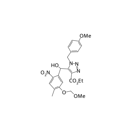 CCOC(=O)c1nnn(Cc2ccc(OC)cc2)c1C(O)c1cc(OCOC)c(C)cc1[N+](=O)[O-]